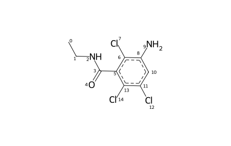 CCNC(=O)c1c(Cl)c(N)cc(Cl)c1Cl